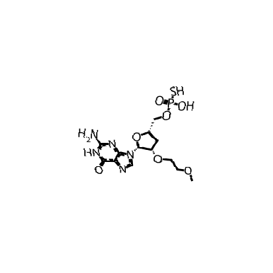 COCCO[C@H]1C[C@@H](COP(=O)(O)S)O[C@H]1n1cnc2c(=O)[nH]c(N)nc21